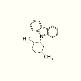 CC1CCC(C)C(n2c3ccccc3c3ccccc32)C1